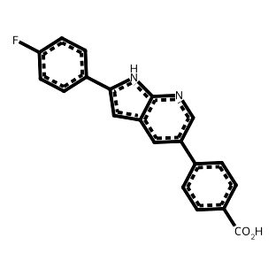 O=C(O)c1ccc(-c2cnc3[nH]c(-c4ccc(F)cc4)cc3c2)cc1